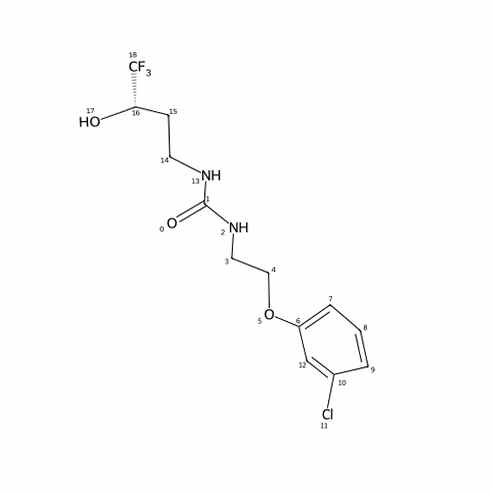 O=C(NCCOc1cccc(Cl)c1)NCC[C@H](O)C(F)(F)F